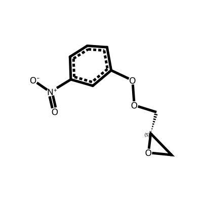 O=[N+]([O-])c1cccc(OOC[C@@H]2CO2)c1